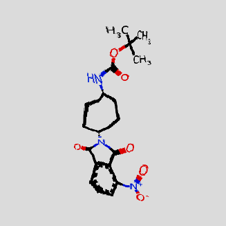 CC(C)(C)OC(=O)N[C@H]1CC[C@H](N2C(=O)c3cccc([N+](=O)[O-])c3C2=O)CC1